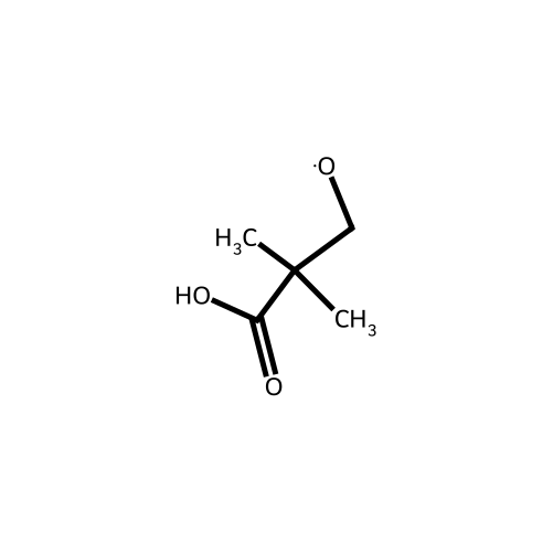 CC(C)(C[O])C(=O)O